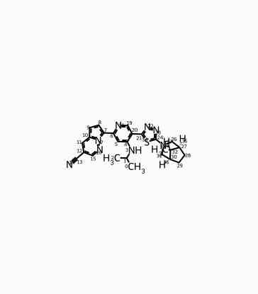 CC(C)Nc1cc(-c2ccc3cc(C#N)cnn23)ncc1-c1nnc(N2C[C@H]3CC[C@@H](C2)[C@@H]3C)s1